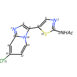 CC(=O)Nc1ncc(-c2cnc3cc(Cl)ccn23)s1